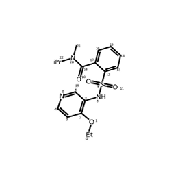 CCOc1ccncc1NS(=O)(=O)c1ccccc1C(=O)N(C)C(C)C